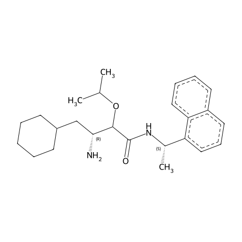 CC(C)OC(C(=O)N[C@@H](C)c1cccc2ccccc12)[C@H](N)CC1CCCCC1